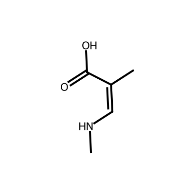 CNC=C(C)C(=O)O